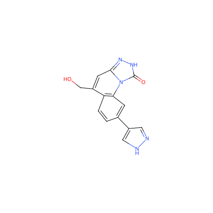 O=c1[nH]nc2cc(CO)c3ccc(-c4cn[nH]c4)cc3n12